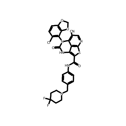 N#Cc1cnc2sc(C(=O)Nc3ccc(CN4CCC(F)(F)CC4)cc3)c3c2c1N(c1c(Cl)ccc2c1OCO2)C(=O)N3